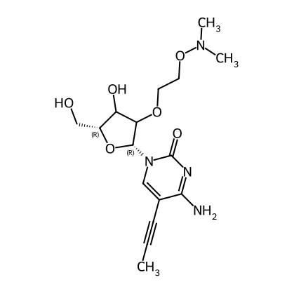 CC#Cc1cn([C@@H]2O[C@H](CO)C(O)C2OCCON(C)C)c(=O)nc1N